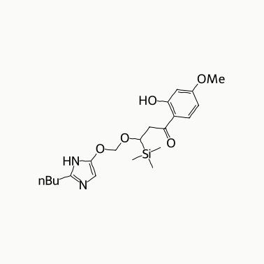 CCCCc1ncc(OCOC(CC(=O)c2ccc(OC)cc2O)[Si](C)(C)C)[nH]1